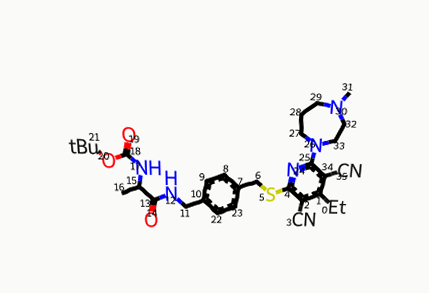 CCc1c(C#N)c(SCc2ccc(CNC(=O)C(C)NC(=O)OC(C)(C)C)cc2)nc(N2CCCN(C)CC2)c1C#N